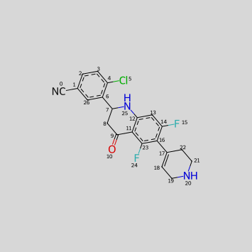 N#Cc1ccc(Cl)c(C2CC(=O)c3c(cc(F)c(C4=CCNCC4)c3F)N2)c1